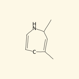 CC1=CC(C)NC=CC1